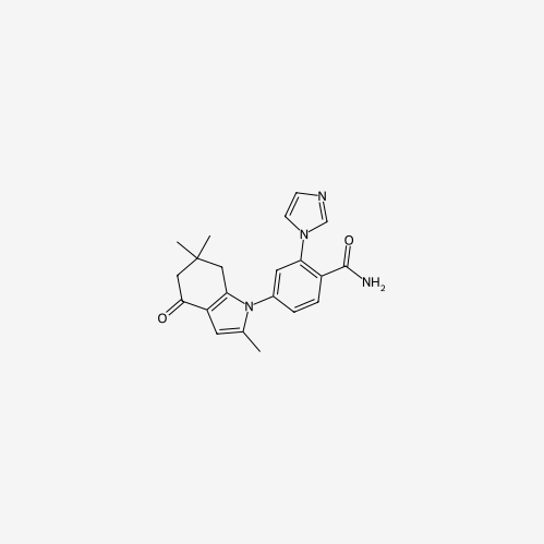 Cc1cc2c(n1-c1ccc(C(N)=O)c(-n3ccnc3)c1)CC(C)(C)CC2=O